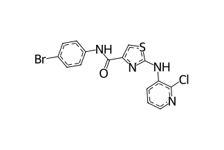 O=C(Nc1ccc(Br)cc1)c1csc(Nc2cccnc2Cl)n1